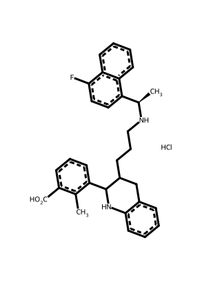 Cc1c(C(=O)O)cccc1C1Nc2ccccc2CC1CCCN[C@H](C)c1ccc(F)c2ccccc12.Cl